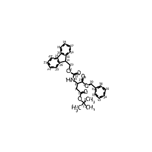 CC(C)(C)OC(=O)CC(NC(=O)OCC1c2ccccc2-c2ccccc21)C(=O)OCc1ccccc1